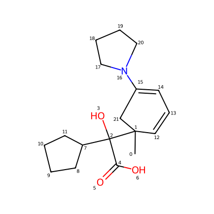 CC1(C(O)(C(=O)O)C2CCCC2)C=CC=C(N2CCCC2)C1